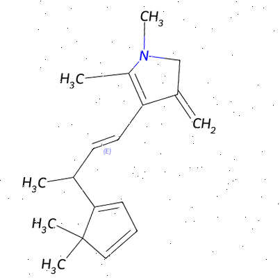 C=C1CN(C)C(C)=C1/C=C/C(C)C1=CC=CC1(C)C